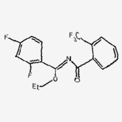 CCOC(=NC(=O)c1ccccc1C(F)(F)F)c1ccc(F)cc1F